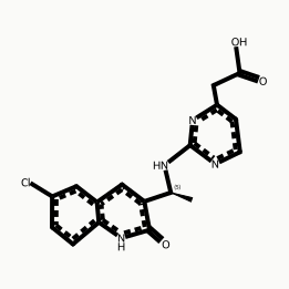 C[C@H](Nc1nccc(CC(=O)O)n1)c1cc2cc(Cl)ccc2[nH]c1=O